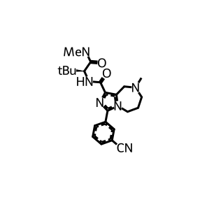 CNC(=O)[C@@H](NC(=O)c1nc(-c2cccc(C#N)c2)n2c1CN(C)CCC2)C(C)(C)C